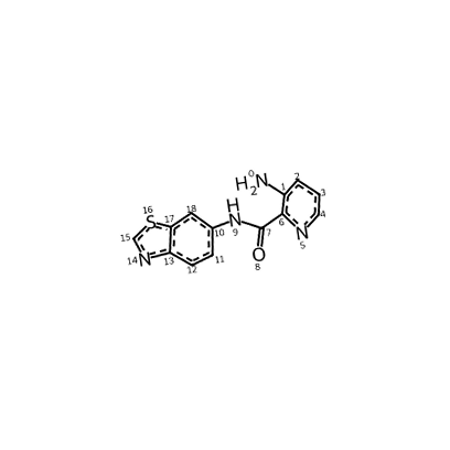 Nc1cccnc1C(=O)Nc1ccc2ncsc2c1